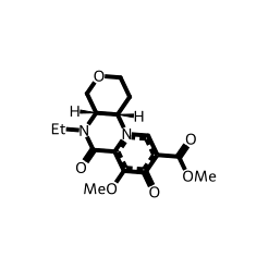 CCN1C(=O)c2c(OC)c(=O)c(C(=O)OC)cn2[C@H]2CCOC[C@H]21